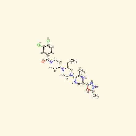 CCC1CN(c2ncc(-c3nnc(C)o3)nc2C)CCN1C1CCN(C(=O)c2ccc(Cl)c(Cl)c2)CC1